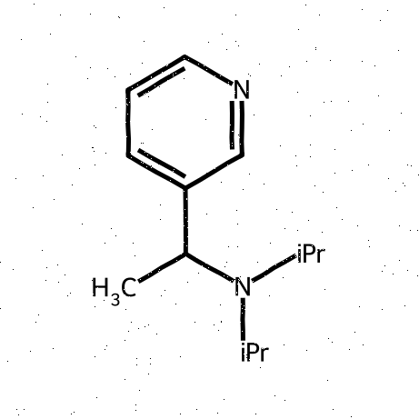 CC(C)N(C(C)C)C(C)c1cccnc1